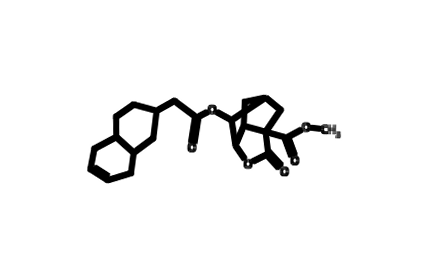 COC(=O)C12CC3CC1C(OC2=O)C3OC(=O)CC1CCC2CC=CCC2C1